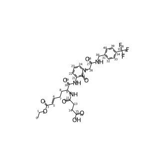 CCOC(=O)C=CCCC(NC(=O)CCC(=O)O)C(=O)Nc1cccn(CC(=O)NCc2ccc(C(F)(F)F)cc2)c1=O